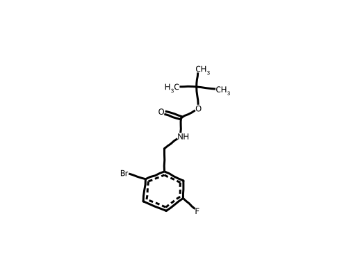 CC(C)(C)OC(=O)NCc1cc(F)ccc1Br